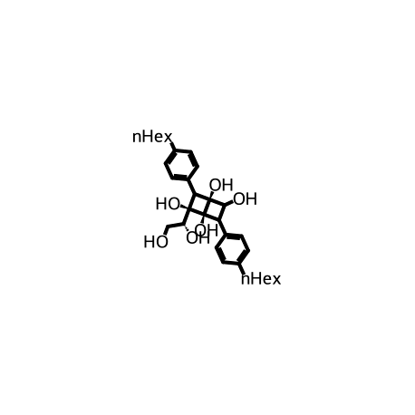 CCCCCCc1ccc(C2C(O)[C@@]3(O)C(c4ccc(CCCCCC)cc4)[C@@](O)([C@H](O)CO)[C@@]23O)cc1